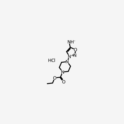 CCOC(=O)N1CCN([n+]2cc([NH-])on2)CC1.Cl